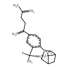 C=C(C)CCC(=C)c1ccc(N2CC3CC(C2)C3(C)C)c(C(C)(N)F)c1